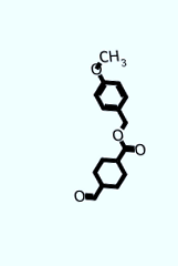 COc1ccc(COC(=O)C2CCC(C=O)CC2)cc1